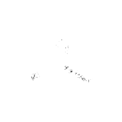 CCCCCCCCCCCCCC(=O)N(CCO)CCO.CCCCCCCCCCCCCC(=O)N(CCO)CCO.O=[Si]([O-])[O-].O=[Si]([O-])[O-].O=[Si]([O-])[O-].O=[Si]([O-])[O-].O=[Si]([O-])[O-].[Al+3].[Al+3].[Mg+2].[Mg+2]